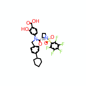 O=C(O)c1ccc(N(Cc2ccc(C3CCCCC3)cc2)C(=O)[C@@H]2CCN2S(=O)(=O)c2c(F)c(F)c(F)c(F)c2F)cc1O